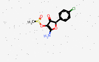 CS(=O)OC1=C(N)OC(c2ccc(Cl)cc2)C1=O